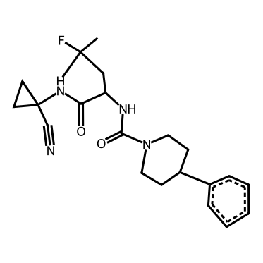 CC(C)(F)CC(NC(=O)N1CCC(c2ccccc2)CC1)C(=O)NC1(C#N)CC1